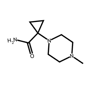 CN1CCN(C2(C(N)=O)CC2)CC1